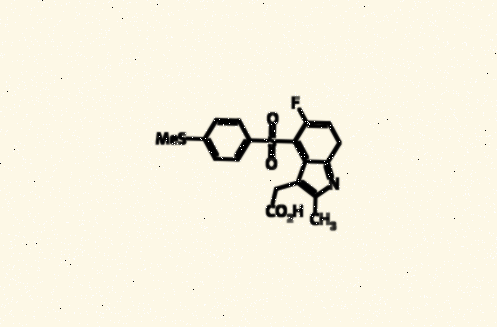 CSc1ccc(S(=O)(=O)C2=C3C(=NC(C)=C3CC(=O)O)CC=C2F)cc1